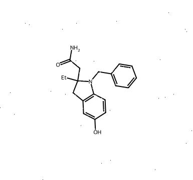 CCC1(CC(N)=O)Cc2cc(O)ccc2N1Cc1ccccc1